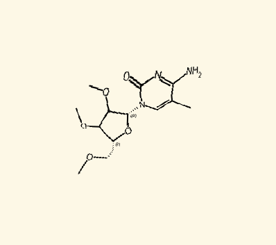 COC[C@H]1O[C@@H](n2cc(C)c(N)nc2=O)C(OC)C1OC